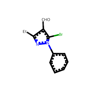 CCc1nn(-c2ccccc2)c(Br)c1C=O